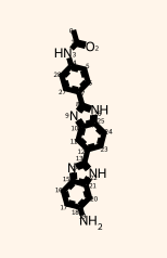 CC(=O)Nc1ccc(-c2nc3cc(-c4nc5ccc(N)cc5[nH]4)ccc3[nH]2)cc1